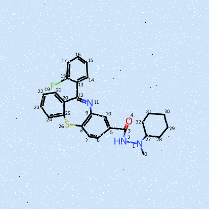 CN(NC(=O)c1ccc2c(c1)N=C(c1ccccc1F)c1ccccc1S2)C1CCCCC1